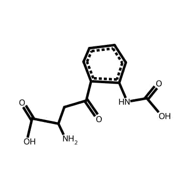 NC(CC(=O)c1ccccc1NC(=O)O)C(=O)O